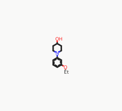 CCOc1cccc(N2CCC(O)CC2)c1